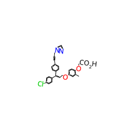 Cc1cc(OCC=C(c2ccc(Cl)cc2)c2ccc(C#CCn3cccn3)cc2)ccc1OCC(=O)O